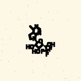 Cc1ncnc2c1ccn2[C@@H]1O[C@H](C(O)C(F)(F)F)[C@@H](O)[C@H]1O